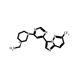 NC[C@H]1CCCN(c2cc(-c3cnc4ccc(C(F)(F)F)nn34)ncn2)C1